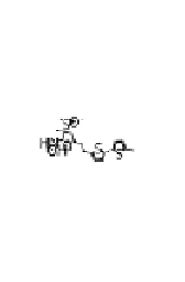 Cc1ccc(-c2ccc(CCCCC(C)(C(=O)NO)[S+](C)[O-])s2)s1